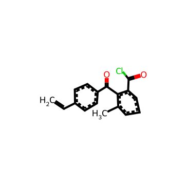 C=Cc1ccc(C(=O)c2c(C)cccc2C(=O)Cl)cc1